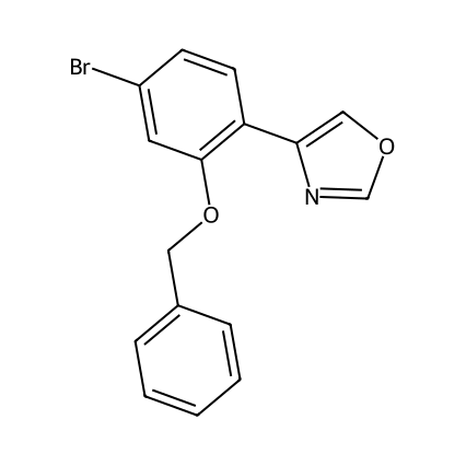 Brc1ccc(-c2cocn2)c(OCc2ccccc2)c1